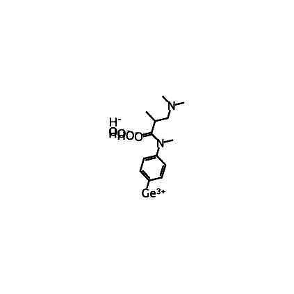 CC(CN(C)C)C(=O)N(C)c1cc[c]([Ge+3])cc1.[OH-].[OH-].[OH-]